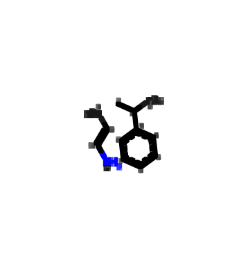 CCCCC(C)c1ccccc1.CCCCC=CN